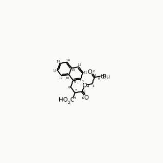 CC(C)(C)C(=O)COC(=O)C(Cc1cccc2ccccc12)C(=O)O